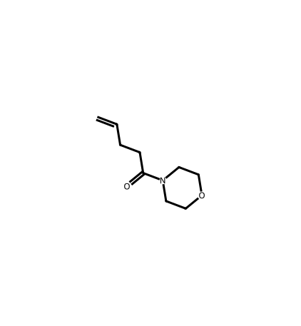 C=CCCC(=O)N1CCOCC1